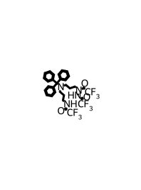 O=C(NCCCN(CCCN(NC(=O)C(F)(F)F)C(=O)C(F)(F)F)C(c1ccccc1)(c1ccccc1)c1ccccc1)C(F)(F)F